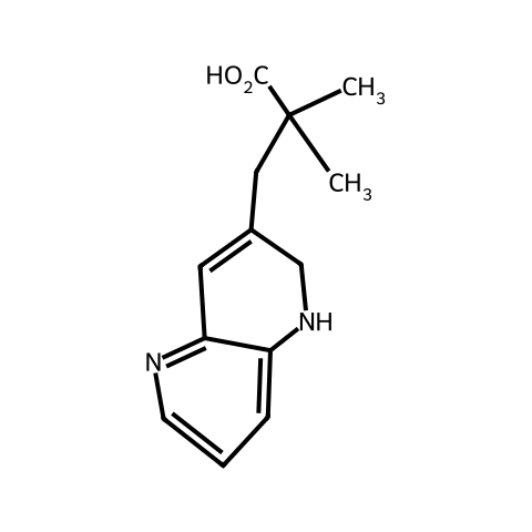 CC(C)(CC1=Cc2ncccc2NC1)C(=O)O